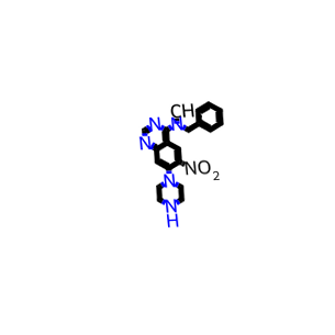 CN(Cc1ccccc1)c1ncnc2cc(N3CCNCC3)c([N+](=O)[O-])cc12